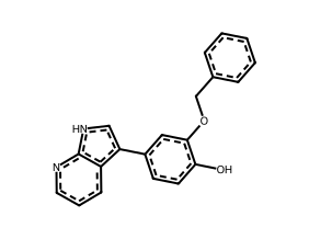 Oc1ccc(-c2c[nH]c3ncccc23)cc1OCc1ccccc1